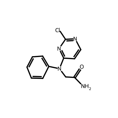 NC(=O)CN(c1ccccc1)c1ccnc(Cl)n1